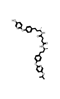 CC(C)Oc1ccc(Oc2ccc(CC[C@H](C)NC(=O)CCC(=O)N[C@@H](C)CCc3ccc(Oc4ccc(O)cn4)cc3)cc2)nc1